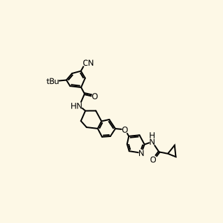 CC(C)(C)c1cc(C#N)cc(C(=O)NC2CCc3ccc(Oc4ccnc(NC(=O)C5CC5)c4)cc3C2)c1